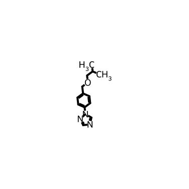 CC(C)COCc1ccc(-n2cncn2)cc1